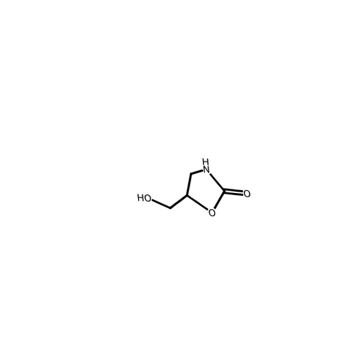 O=C1NCC(CO)O1